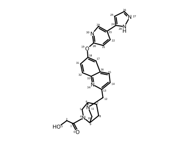 O=C(CO)N1CC2CCC1CN2Cc1ccc2cc(Oc3ccc(-c4ccn[nH]4)cn3)ccc2n1